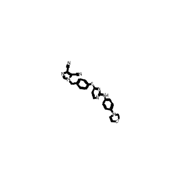 N#Cc1ncn(Cc2ccc(Sc3ccnc(Nc4ccc(N5CCOCC5)cc4)n3)cc2)c1C#N